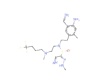 CN/N=C(\C=N)[S+]([O-])N(CCc1cc(C=N)c(N)cc1C)CCN(C)CCCC(F)(F)F